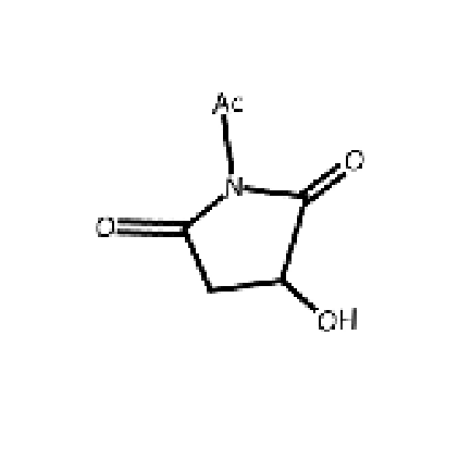 CC(=O)N1C(=O)CC(O)C1=O